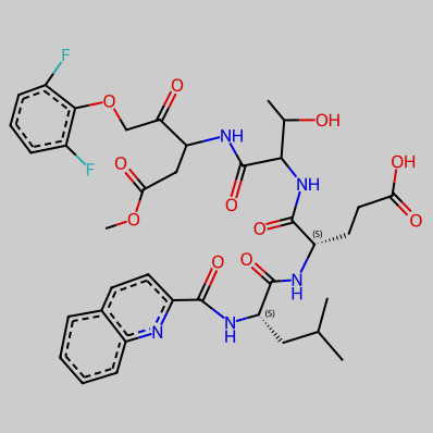 COC(=O)CC(NC(=O)C(NC(=O)[C@H](CCC(=O)O)NC(=O)[C@H](CC(C)C)NC(=O)c1ccc2ccccc2n1)C(C)O)C(=O)COc1c(F)cccc1F